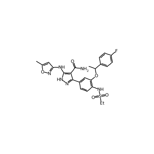 CCS(=O)(=O)Nc1ccc(-c2n[nH]c(Nc3cc(C)on3)c2C(N)=O)cc1OC(C)c1ccc(F)cc1